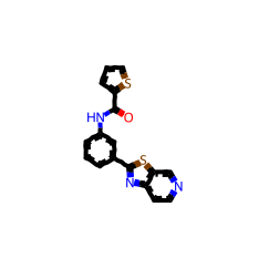 O=C(Nc1cccc(-c2nc3ccncc3s2)c1)c1cccs1